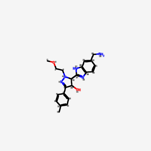 COCCN1N=C(c2ccc(C)cc2)C(O)C1c1nc2ccc(CN)cc2[nH]1